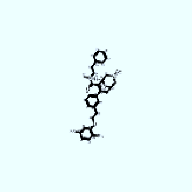 CC(=O)N1CC2CC(c3cccc(CCOc4cc(F)ccc4F)c3)=C(C(=O)N(C)CCc3ccccc3)[C@@H](C1)N2